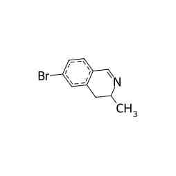 CC1Cc2cc(Br)ccc2C=N1